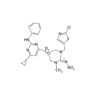 CN1COCN(Cc2cnc(Cl)s2)/C1=N/[N+](=O)[O-].Cc1cc(C2CC2)nc(Nc2ccccc2)n1